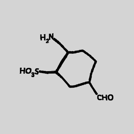 NC1CCC(C=O)CC1S(=O)(=O)O